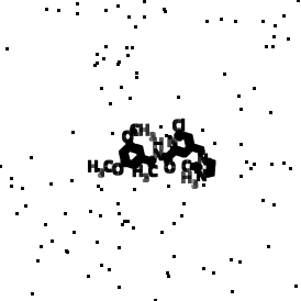 COc1cc(OC)cc(C(C)NC(=O)c2cc(Cn3ccnc3C)cc(Cl)n2)c1